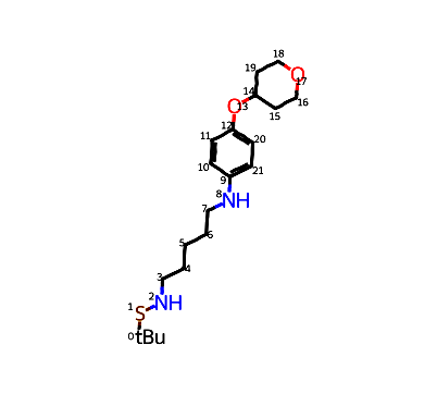 CC(C)(C)SNCCCCCNc1ccc(OC2CCOCC2)cc1